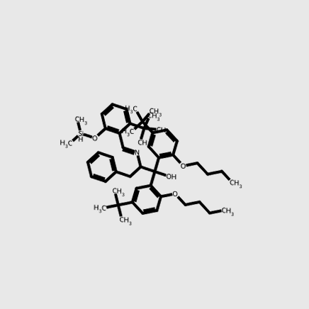 CCCCOc1ccc(C(C)(C)C)cc1C(O)(c1cc(C(C)(C)C)ccc1OCCCC)C(Cc1ccccc1)N=Cc1c(O[SiH](C)C)cccc1C(C)(C)C